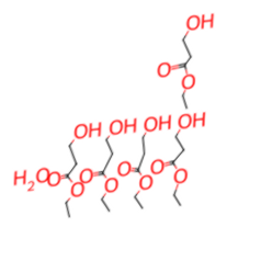 CCOC(=O)CCO.CCOC(=O)CCO.CCOC(=O)CCO.CCOC(=O)CCO.CCOC(=O)CCO.O